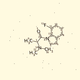 CC(C(=O)n1ccc2cccc(F)c21)N(C)C